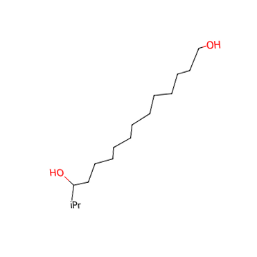 CC(C)C(O)CCCCCCCCCCCCO